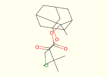 CC(C)(C)C(=O)OC12CC3CC(C1)C(C)(OC(=O)CCl)C(C3)C2